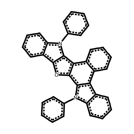 c1ccc(-n2c3ccccc3c3c4ccccc4c4c(oc5c6ccccc6n(-c6ccccc6)c54)c32)cc1